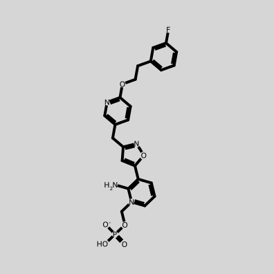 Nc1c(-c2cc(Cc3ccc(OCCc4cccc(F)c4)nc3)no2)ccc[n+]1COP(=O)([O-])O